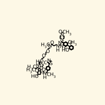 CC(=O)N1CCN(c2nc(NCCC(=O)N(C)CCOCCOCCOCC(=O)N[C@H](C(=O)N3C[C@H](O)C[C@H]3C(=O)N[C@@H](C)c3ccc(-c4scnc4C)cc3)C(C)(C)C)nc3c(F)c(-c4c(O)cccc4F)c(C)cc23)CC1